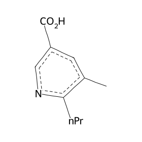 CCCc1ncc(C(=O)O)cc1C